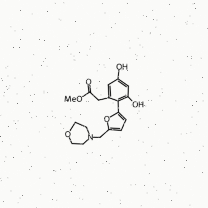 COC(=O)Cc1cc(O)cc(O)c1-c1ccc(CN2CCOCC2)o1